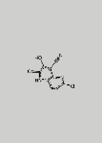 N#Cc1c(O)c(=O)[nH]c2ccc(Cl)nc12